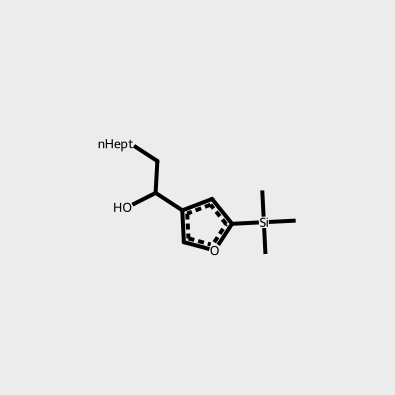 CCCCCCCCC(O)c1coc([Si](C)(C)C)c1